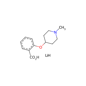 CN1CCC(Oc2ccccc2C(=O)O)CC1.[LiH]